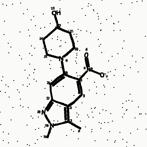 Cc1c2cc([N+](=O)[O-])c(N3CCC(O)CC3)cc2nn1C